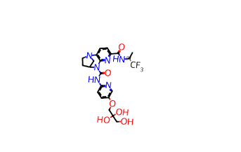 C[C@@H](NC(=O)c1ccc2c(n1)N(C(=O)Nc1ccc(OCC(O)(O)CO)cn1)C1CCN2C1)C(F)(F)F